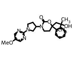 COc1cnc(N2CCC(N3CCC(CC(C)(C)O)(c4ccccc4)OC3=O)C2)nc1